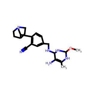 COC1NC(C)=C(N)C(NCc2ccc(C3CN4CCC3CC4)c(C#N)c2)N1